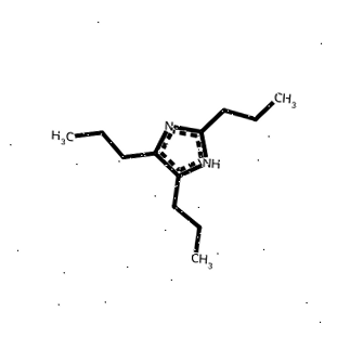 CCCc1nc(CCC)c(CCC)[nH]1